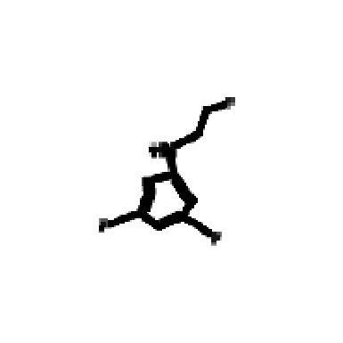 FCCNc1cc(F)cc(F)c1